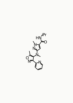 Cc1onc(-c2ccccn2)c1N(C)c1cc(C(=O)NC(C)C)n(C)n1